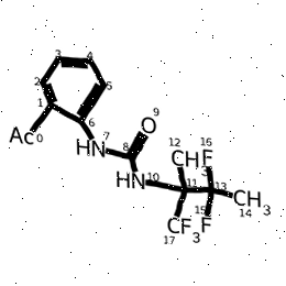 CC(=O)c1ccccc1NC(=O)NC(C)(C(C)(F)F)C(F)(F)F